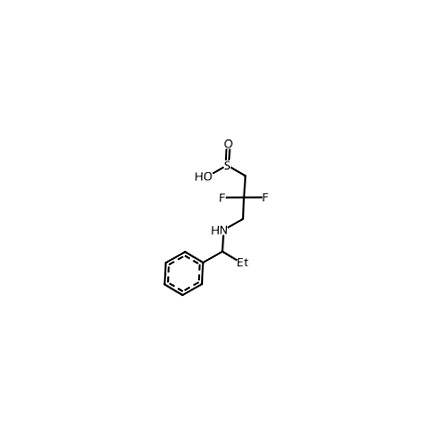 CCC(NCC(F)(F)CS(=O)O)c1ccccc1